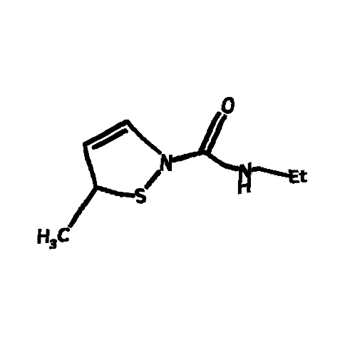 CCNC(=O)N1C=CC(C)S1